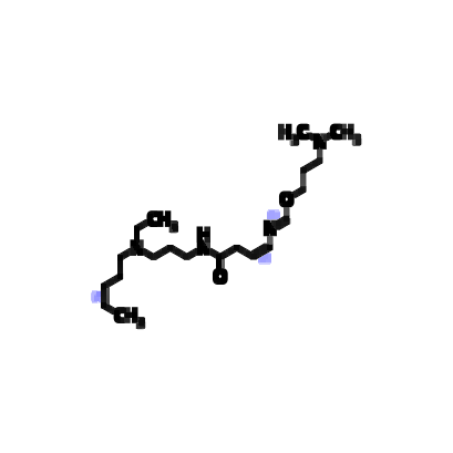 C/C=C\CCN(CC)CCCNC(=O)C/C=C\N=C\OCCCN(C)C